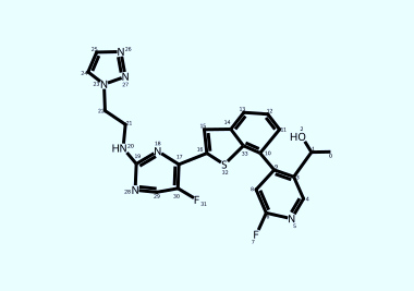 CC(O)c1cnc(F)cc1-c1cccc2cc(-c3nc(NCCn4ccnn4)ncc3F)sc12